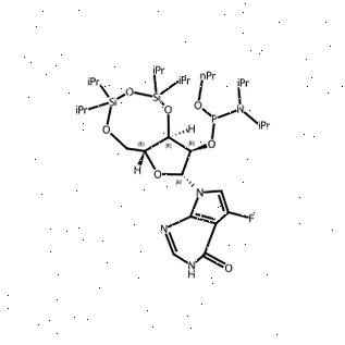 CCCOP(O[C@@H]1[C@@H]2O[Si](C(C)C)(C(C)C)O[Si](C(C)C)(C(C)C)OC[C@H]2O[C@H]1n1cc(F)c2c(=O)[nH]cnc21)N(C(C)C)C(C)C